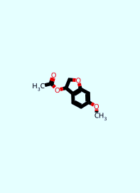 COc1ccc2c(c1)OCC2OC(C)=O